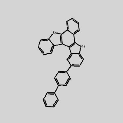 c1ccc(-c2ccc(-c3ccc4[nH]c5c6ccccc6c6sc7ccccc7c6c5c4c3)cc2)cc1